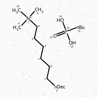 CCCCCCCCCCCCCCCC[N+](C)(C)C.CCCCP(=O)(O)O